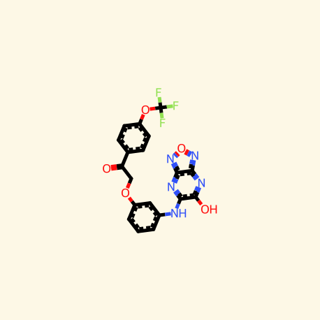 O=C(COc1cccc(Nc2nc3nonc3nc2O)c1)c1ccc(OC(F)(F)F)cc1